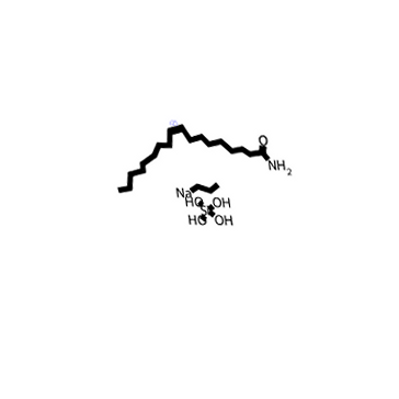 CCCCCCCC/C=C\CCCCCCCC(N)=O.CC[CH2][Na].O[Si](O)(O)O